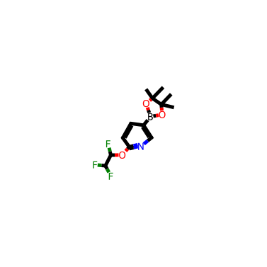 CC1(C)OB(c2ccc(OC(F)C(F)F)nc2)OC1(C)C